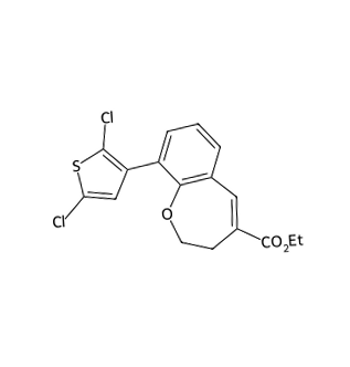 CCOC(=O)C1=Cc2cccc(-c3cc(Cl)sc3Cl)c2OCC1